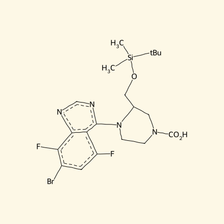 CC(C)(C)[Si](C)(C)OCC1CN(C(=O)O)CCN1c1ncnc2c(F)c(Br)cc(F)c12